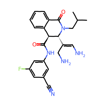 CC(C)CN1C(=O)c2ccccc2[C@H](C(=O)Nc2cc(F)cc(C#N)c2)[C@H]1/C(=C/N)CN